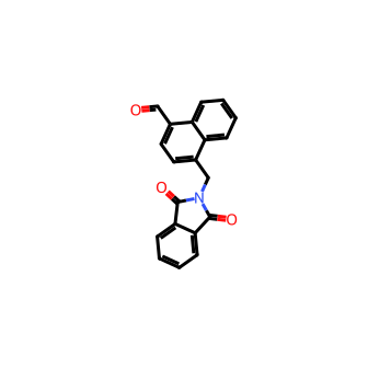 O=Cc1ccc(CN2C(=O)c3ccccc3C2=O)c2ccccc12